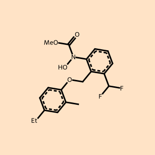 CCc1ccc(OCc2c(C(F)F)cccc2N(O)C(=O)OC)c(C)c1